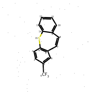 FC(F)(F)c1ccc2c(c1)C=Cc1ccccc1S2